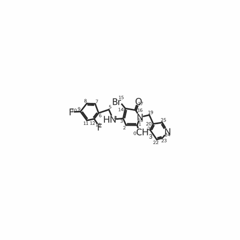 Cc1cc(NCc2ccc(F)cc2F)c(Br)c(=O)n1Cc1cccnc1